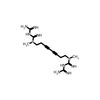 CN(CCC#CC#CCCN(C)C(=N)NC(=N)N)C(=N)NC(=N)N